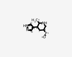 CC1NCC(P=O)CC1c1cn[nH]c1